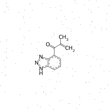 C=C(C)C(=O)c1cccc2[nH]nnc12